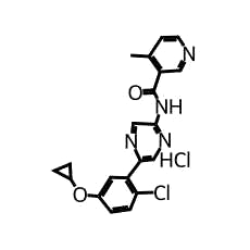 Cc1ccncc1C(=O)Nc1cnc(-c2cc(OC3CC3)ccc2Cl)cn1.Cl